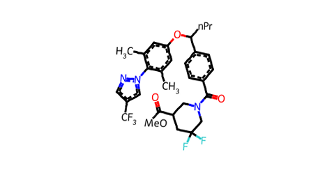 CCCC(Oc1cc(C)c(-n2cc(C(F)(F)F)cn2)c(C)c1)c1ccc(C(=O)N2CC(C(=O)OC)CC(F)(F)C2)cc1